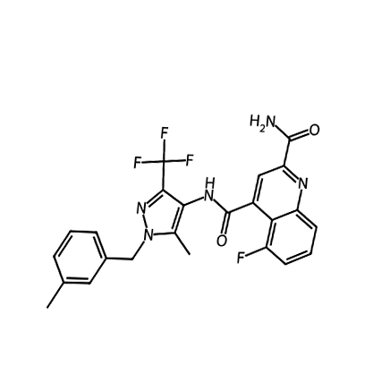 Cc1cccc(Cn2nc(C(F)(F)F)c(NC(=O)c3cc(C(N)=O)nc4cccc(F)c34)c2C)c1